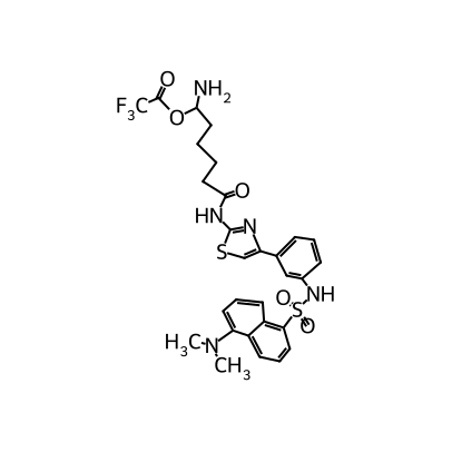 CN(C)c1cccc2c(S(=O)(=O)Nc3cccc(-c4csc(NC(=O)CCCCC(N)OC(=O)C(F)(F)F)n4)c3)cccc12